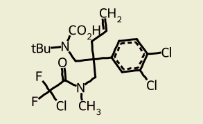 C=CCC(CN(C)C(=O)C(F)(F)Cl)(CN(C(=O)O)C(C)(C)C)c1ccc(Cl)c(Cl)c1